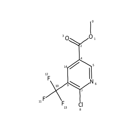 COC(=O)c1cnc(Cl)c(C(F)(F)F)c1